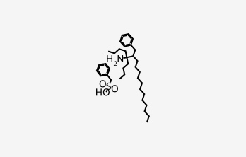 CCCCCCCCCCCCC(Cc1ccccc1)C(N)(CCCC)CCCC.O=S(=O)(O)Cc1ccccc1